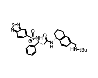 CC(C)(C)NCc1ccc2c(c1)CCC[C@H]2NC(=O)C[C@@H](NS(=O)(=O)c1ccc2nsnc2c1)c1ccccc1